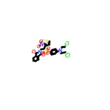 O=C1c2ccccc2C(=O)N1CC(c1ccsc1[N+](=O)[O-])S(=O)(=O)Oc1ccc(N(CCCl)CCCl)cc1